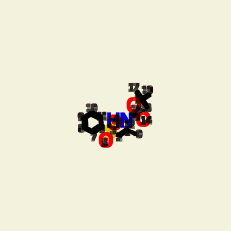 C[C@@H](CS(=O)(=O)c1ccccc1)NC(=O)OC(C)(C)C